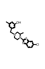 Cc1cc(O)cc(CN2CCN(c3nc4ccc(Cl)cc4s3)C(C)C2)c1